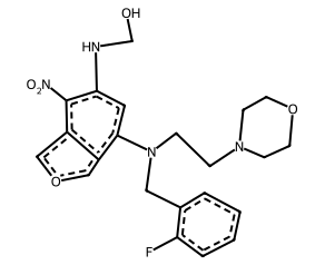 O=[N+]([O-])c1c(NCO)cc(N(CCN2CCOCC2)Cc2ccccc2F)c2cocc12